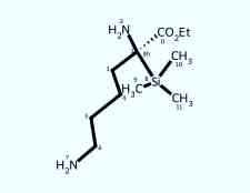 CCOC(=O)[C@@](N)(CCCCN)[Si](C)(C)C